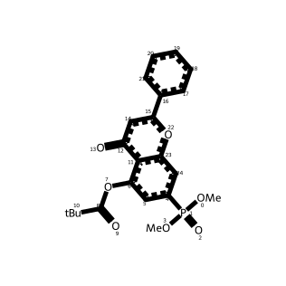 COP(=O)(OC)c1cc(OC(=O)C(C)(C)C)c2c(=O)cc(-c3ccccc3)oc2c1